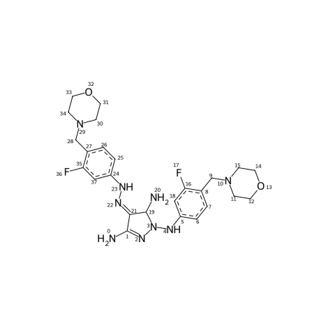 NC1=NN(Nc2ccc(CN3CCOCC3)c(F)c2)C(N)C1=NNc1ccc(CN2CCOCC2)c(F)c1